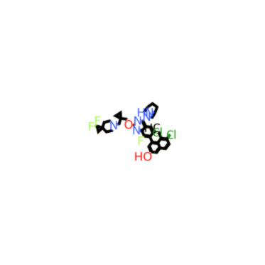 C#Cc1c(Cl)ccc2cc(O)cc(-c3c(Cl)cc4c(N5CC6CCC(C5)N6)nc(OCC5(CN6CCC7(CC6)CC7(F)F)CC5)nc4c3F)c12